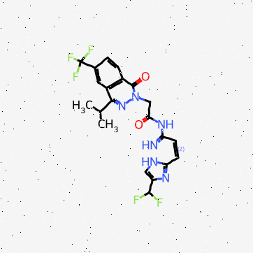 CC(C)c1nn(CC(=O)NC(=N)/C=C\c2nc(C(F)F)c[nH]2)c(=O)c2ccc(C(F)(F)F)cc12